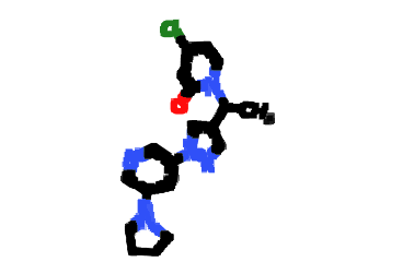 CC(c1cnn(-c2cncc(N3CCCC3)c2)c1)n1ccc(Cl)cc1=O